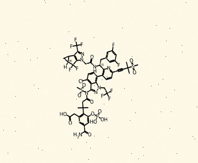 CC(C)(CC(=O)N(c1nn(CC(F)(F)F)c2c(-c3ccc(C#CC(C)(C)S(C)(=O)=O)nc3[C@H](Cc3cc(F)cc(F)c3)NC(=O)Cn3nc(C(F)(F)F)c4c3C(F)(F)[C@@H]3CC43)ccc(Cl)c12)S(C)(=O)=O)c1c(CC(=O)O)cc(C(N)=O)cc1OP(=O)(O)O